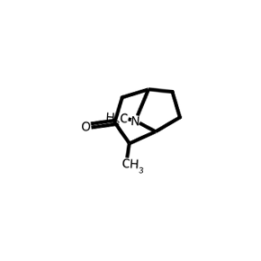 CC1C(=O)CC2CCC1N2C